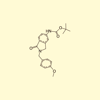 COc1ccc(CN2Cc3cc(NC(=O)OC(C)(C)C)ccc3C2=O)cc1